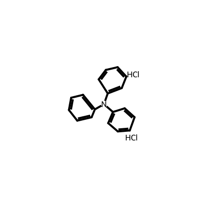 Cl.Cl.c1ccc(N(c2ccccc2)c2ccccc2)cc1